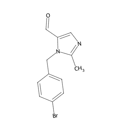 Cc1ncc(C=O)n1Cc1ccc(Br)cc1